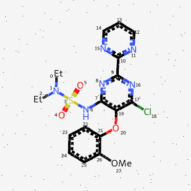 CCN(CC)S(=O)(=O)Nc1nc(-c2ncccn2)nc(Cl)c1Oc1ccccc1OC